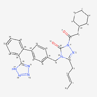 CC=CCc1nn(C(=O)CC2CCCCC2)c(=O)n1Cc1ccc(-c2ccccc2-c2nnn[nH]2)cc1